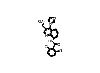 CSCc1cnc2c(NC(=O)c3c(Cl)cccc3Cl)cccc2c1-n1ccnc1